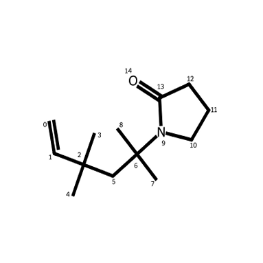 C=CC(C)(C)CC(C)(C)N1CCCC1=O